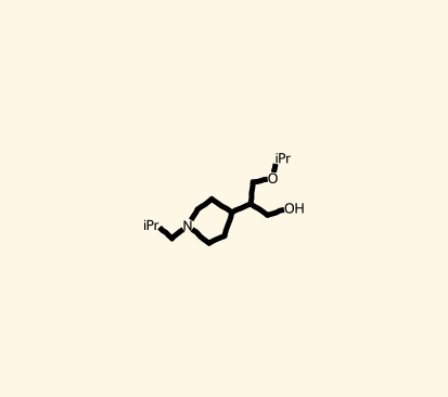 CC(C)CN1CCC(C(CO)COC(C)C)CC1